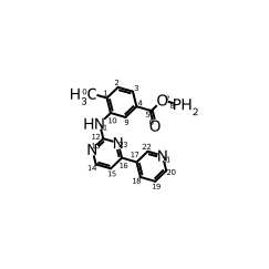 Cc1ccc(C(=O)OP)cc1Nc1nccc(-c2cccnc2)n1